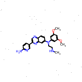 CNCCN(c1cc(OC)cc(OC)c1)c1ccc2ncc(-c3ccc(N)nc3)nc2c1